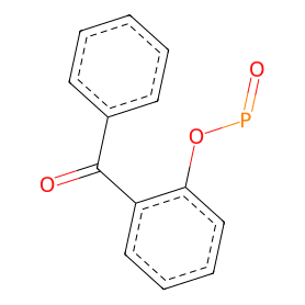 O=POc1ccccc1C(=O)c1ccccc1